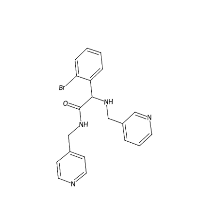 O=C(NCc1ccncc1)C(NCc1cccnc1)c1ccccc1Br